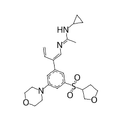 C=C/C(=C\N=C(/C)NC1CC1)c1cc(N2CCOCC2)cc(S(=O)(=O)C2CCOC2)c1